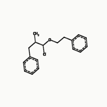 CC(Cc1ccccc1)C(Cl)OCCc1ccccc1